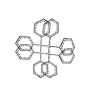 c1ccc([Si]2(c3ccccc3)[Si](c3ccccc3)(c3ccccc3)[Si](c3ccccc3)(c3ccccc3)[Si]2(c2ccccc2)c2ccccc2)cc1